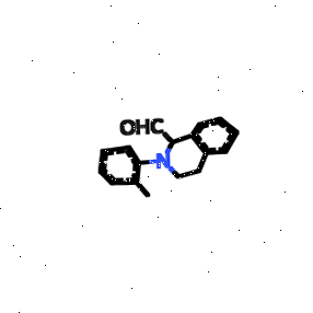 Cc1ccccc1N1CCc2ccccc2C1C=O